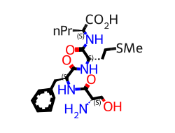 CCC[C@H](NC(=O)[C@H](CCSC)NC(=O)[C@H](Cc1ccccc1)NC(=O)[C@@H](N)CO)C(=O)O